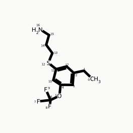 CCc1cc(OC(F)(F)F)cc(SCCCN)c1